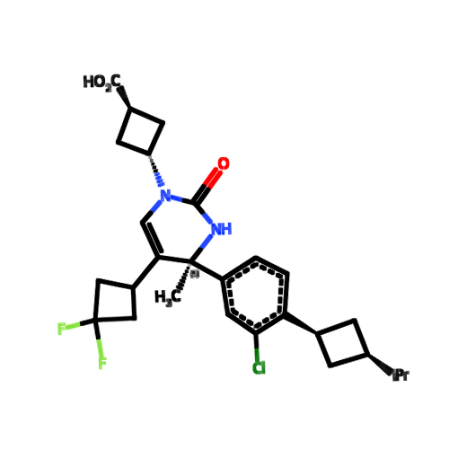 CC(C)[C@H]1C[C@@H](c2ccc([C@]3(C)NC(=O)N([C@H]4C[C@H](C(=O)O)C4)C=C3C3CC(F)(F)C3)cc2Cl)C1